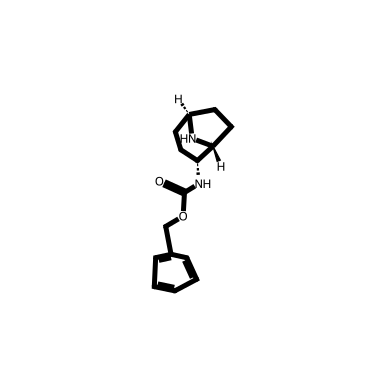 O=C(N[C@@H]1CC[C@H]2CC[C@H]1N2)OCc1ccccc1